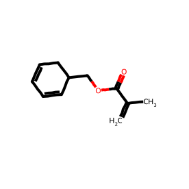 C=C(C)C(=O)OCC1C=CC=CC1